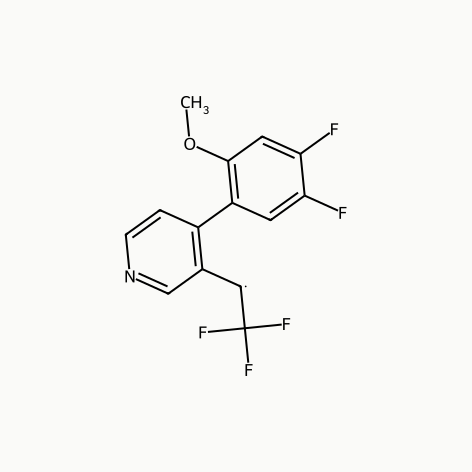 COc1cc(F)c(F)cc1-c1ccncc1[CH]C(F)(F)F